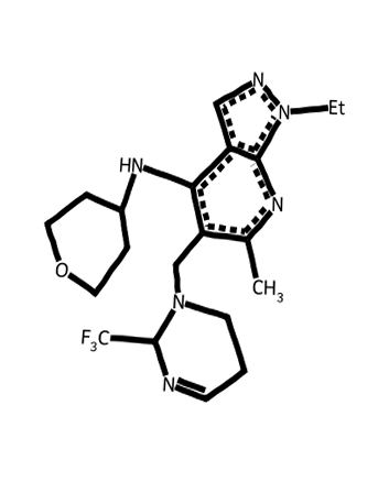 CCn1ncc2c(NC3CCOCC3)c(CN3CCC=NC3C(F)(F)F)c(C)nc21